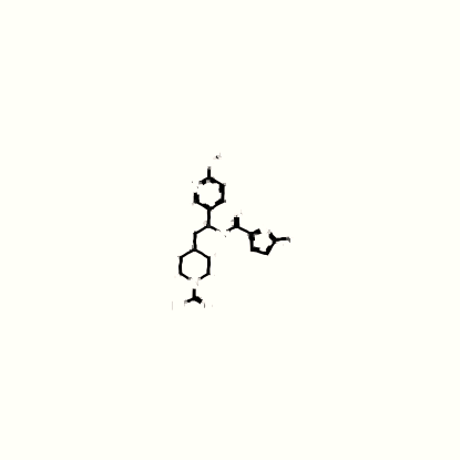 COc1ccc(C(CC2CCN(C(=O)O)CC2)NC(=O)c2ccc(F)s2)cn1